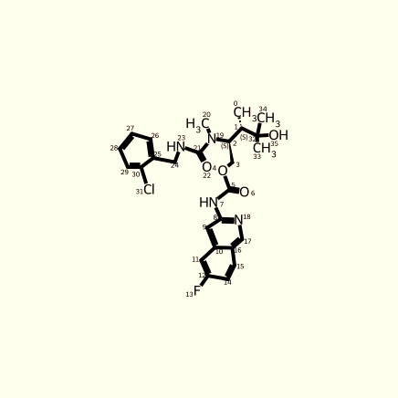 C[C@@H]([C@@H](COC(=O)Nc1cc2cc(F)ccc2cn1)N(C)C(=O)NCc1ccccc1Cl)C(C)(C)O